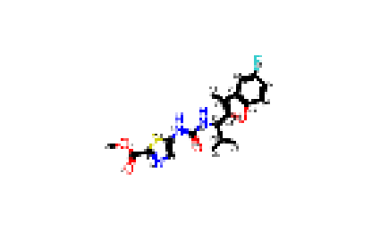 COC(=O)c1ncc(NC(=O)N[C@H](c2oc3ccc(F)cc3c2C)C(C)C)s1